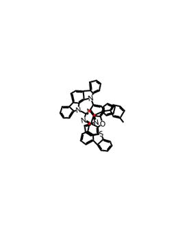 Cc1cccc(-c2cc(-n3c4ccccc4c4ccc5c6ccccc6n(-c6nc(-c7ccccc7)nc(-c7cccc8c7sc7ccccc78)n6)c5c43)cc3c2oc2ccccc23)c1